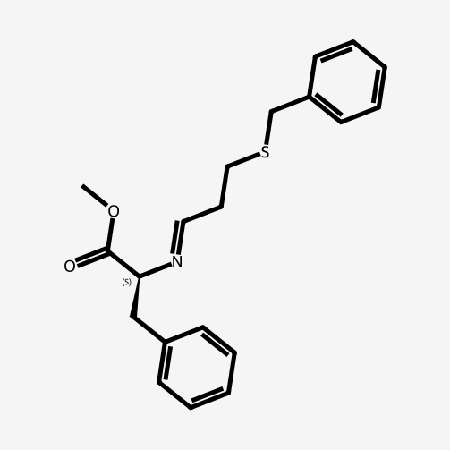 COC(=O)[C@H](Cc1ccccc1)N=CCCSCc1ccccc1